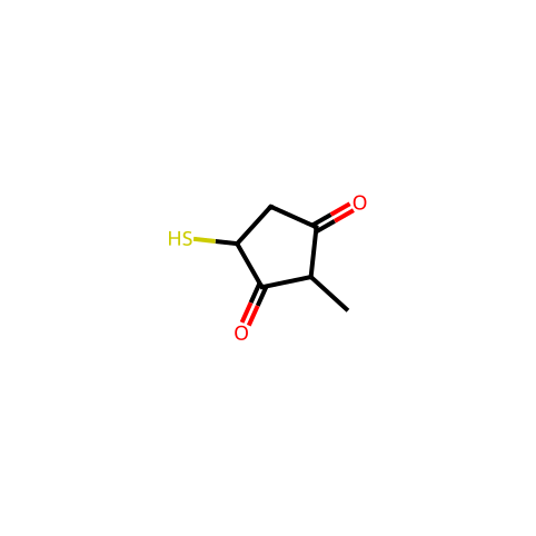 CC1C(=O)CC(S)C1=O